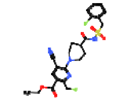 CCOC(=O)c1cc(C#N)c(N2CCC(C(=O)NS(=O)(=O)Cc3ccccc3F)CC2)nc1CF